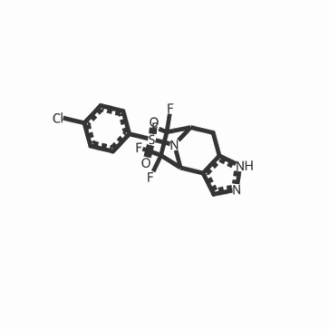 O=S(=O)(c1ccc(Cl)cc1)N1C2Cc3[nH]ncc3C1C(F)(F)C2(F)F